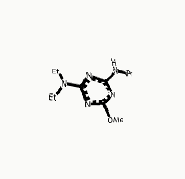 CCN(CC)c1nc(NC(C)C)nc(OC)n1